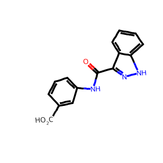 O=C(O)c1cccc(NC(=O)c2n[nH]c3ccccc23)c1